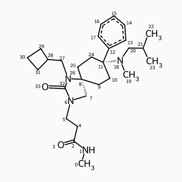 CNC(=O)CCN1C[C@]2(CC[C@@](c3ccccc3)(N(C)CC(C)C)CC2)N(CC2CCC2)C1=O